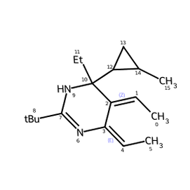 C/C=C1\C(=C/C)N=C(C(C)(C)C)NC1(CC)C1CC1C